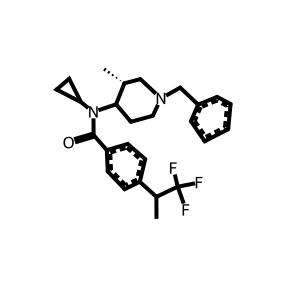 CC(c1ccc(C(=O)N(C2CC2)C2CCN(Cc3ccccc3)C[C@H]2C)cc1)C(F)(F)F